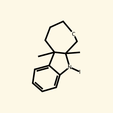 CC12CCCCCC1(C)N(I)c1ccccc12